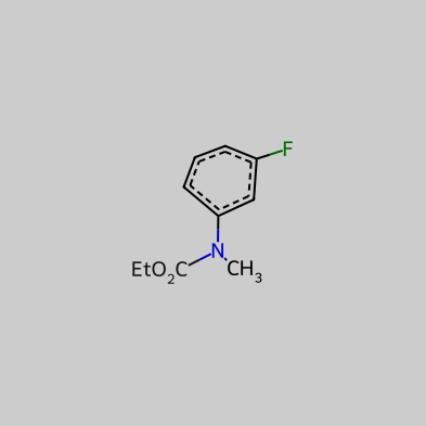 C[CH]OC(=O)N(C)c1cccc(F)c1